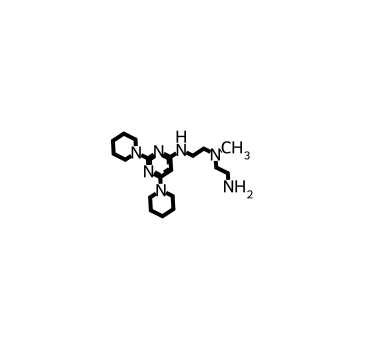 CN(CCN)CCNc1cc(N2CCCCC2)nc(N2CCCCC2)n1